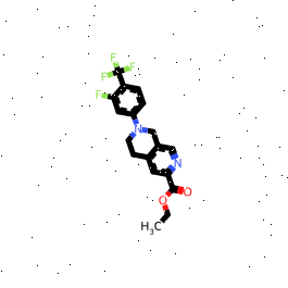 CCOC(=O)c1cc2c(cn1)CN(c1ccc(C(F)(F)F)c(F)c1)CC2